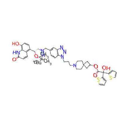 CC(C)(C)[Si](C)(C)O[C@@H](CNCc1ccc2c(c1)nnn2CCCN1CCC2(CC1)CC(OC(=O)C(O)(c1cccs1)c1cccs1)C2)c1ccc(O)c2[nH]c(=O)ccc12